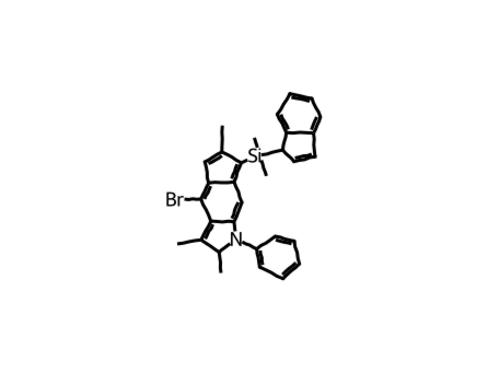 CC1=Cc2c(Br)c3c(cc2=C1[Si](C)(C)C1C=Cc2ccccc21)N(c1ccccc1)C(C)C=3C